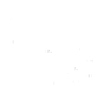 CN1C(C)(C)CC(NCc2ccc(Cl)c(Cl)c2)CC1(C)C